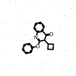 O=C1c2ccccc2N=C(Oc2ccccc2)C1C1CCC1